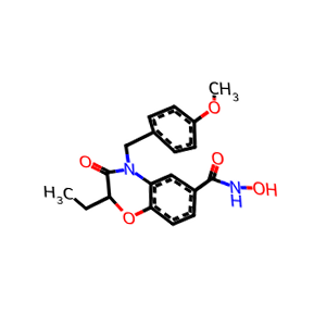 CCC1Oc2ccc(C(=O)NO)cc2N(Cc2ccc(OC)cc2)C1=O